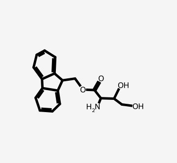 NC(C(=O)OCC1c2ccccc2-c2ccccc21)C(O)CO